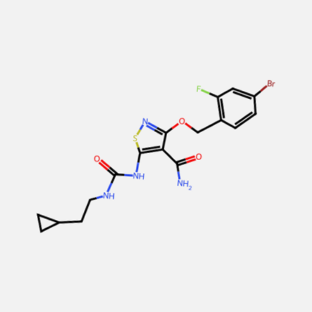 NC(=O)c1c(OCc2ccc(Br)cc2F)nsc1NC(=O)NCCC1CC1